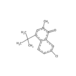 Cn1cc(C(C)(C)C)c2ccc(Cl)cc2c1=O